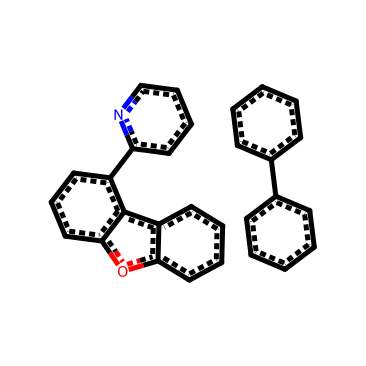 c1ccc(-c2cccc3oc4ccccc4c23)nc1.c1ccc(-c2ccccc2)cc1